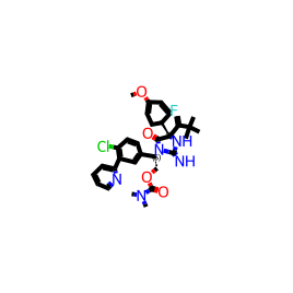 C=C(C(C)(C)C)[C@]1(C2CC=C(OC)C=C2F)NC(=N)N([C@H](COC(=O)N(C)C)c2ccc(Cl)c(-c3ccccn3)c2)C1=O